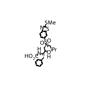 CSc1nc2ccc(S(=O)(=O)N(CC(C)C)C[C@@H](O)[C@H](Cc3ccccc3)NC(=O)O)cc2s1